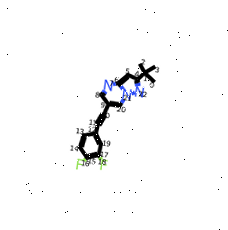 CC(C)(C)c1cc2ncc(C#Cc3ccc(F)c(F)c3)cn2n1